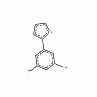 CC(C)c1cc(F)cc(-c2ccco2)c1